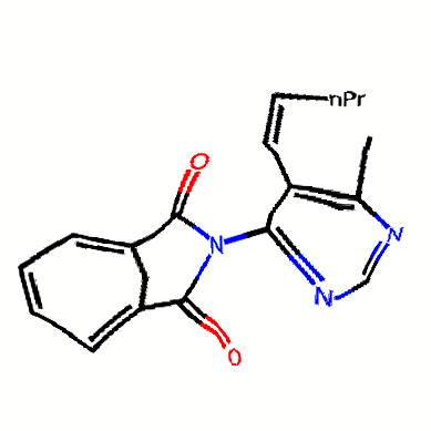 CCC/C=C\c1c(C)ncnc1N1C(=O)c2ccccc2C1=O